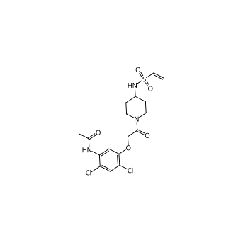 C=CS(=O)(=O)NC1CCN(C(=O)COc2cc(NC(C)=O)c(Cl)cc2Cl)CC1